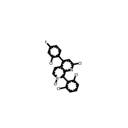 [O-][n+]1ccc2c(-c3ccc(F)cc3Cl)cc(Cl)nc2c1-c1c(Cl)cccc1Cl